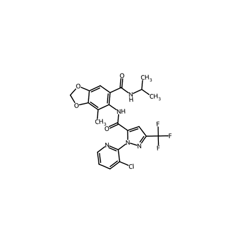 Cc1c(NC(=O)c2cc(C(F)(F)F)nn2-c2ncccc2Cl)c(C(=O)NC(C)C)cc2c1OCO2